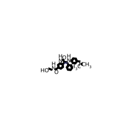 CN(C)Cc1ccc(N/C(=C2\C(=O)Nc3cc(C(=O)NCCO)ccc32)c2ccccc2)cc1